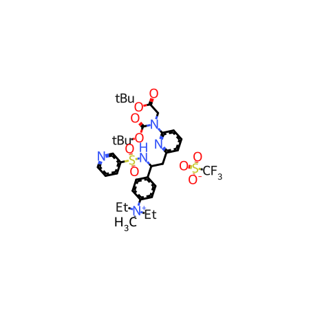 CC[N+](C)(CC)c1ccc(C(Cc2cccc(N(CC(=O)OC(C)(C)C)C(=O)OC(C)(C)C)n2)NS(=O)(=O)c2cccnc2)cc1.O=S(=O)([O-])C(F)(F)F